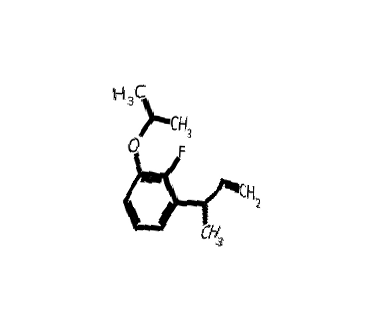 C=C[C](C)c1cccc(OC(C)C)c1F